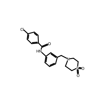 O=C(Nc1cccc(CN2CCS(=O)(=O)CC2)c1)c1ccc(Cl)cc1